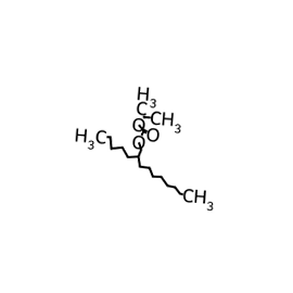 CCCCCCCCC(CCCCC)COC(=O)OC(C)C